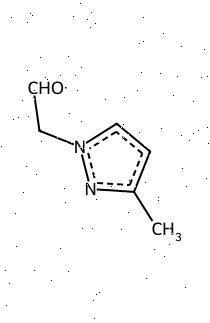 Cc1ccn(C[C]=O)n1